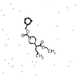 C=CCC(C(=O)OCC)C1CCN(C(=O)OCc2ccccc2)CC1